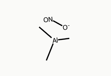 O=[NH+][O-].[CH3][Al]([CH3])[CH3]